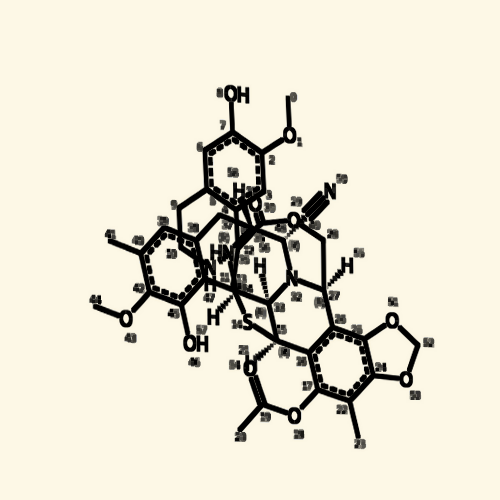 COc1cc2c(cc1O)CCN[C@]21CS[C@@H]2c3c(OC(C)=O)c(C)c4c(c3[C@H](COC1=O)N1[C@@H]2[C@@H]2N[C@H](Cc3cc(C)c(OC)c(O)c32)[C@@H]1C#N)OCO4